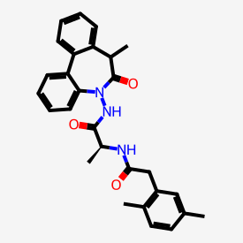 Cc1ccc(C)c(CC(=O)N[C@@H](C)C(=O)NN2C(=O)C(C)c3ccccc3-c3ccccc32)c1